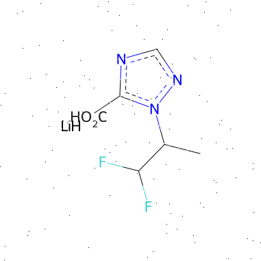 CC(C(F)F)n1ncnc1C(=O)O.[LiH]